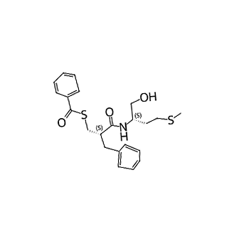 CSCC[C@@H](CO)NC(=O)[C@@H](CSC(=O)c1ccccc1)Cc1ccccc1